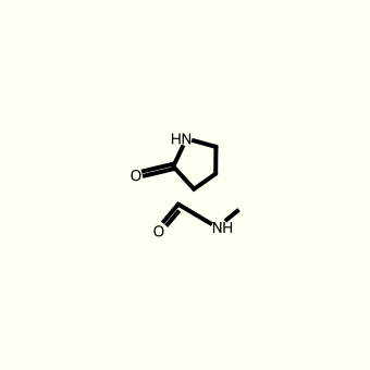 CNC=O.O=C1CCCN1